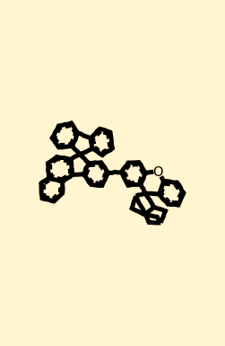 c1ccc2c(c1)Oc1ccc(-c3ccc4c(c3)C3(c5ccccc5-c5ccccc53)c3ccc5ccccc5c3-4)cc1C21C2CC3CC(C2)C1C3